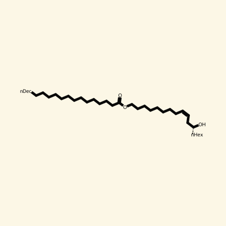 CCCCCCCCCCCCCCCCCCCCCCCC(=O)OCCCCCCCC/C=C\C[C@H](O)CCCCCC